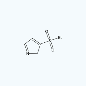 CCS(=O)(=O)C1=CC=NC1